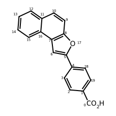 O=C(O)c1ccc(-c2cc3c(ccc4ccccc43)o2)cc1